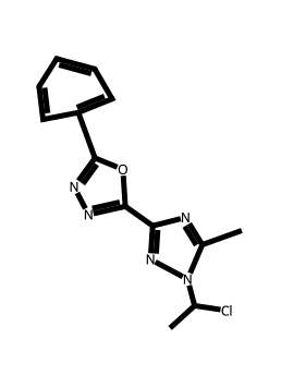 Cc1nc(-c2nnc(-c3ccccc3)o2)nn1C(C)Cl